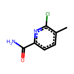 Cc1ccc(C(N)=O)nc1Cl